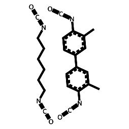 Cc1cc(-c2ccc(N=C=O)c(C)c2)ccc1N=C=O.O=C=NCCCCCCN=C=O